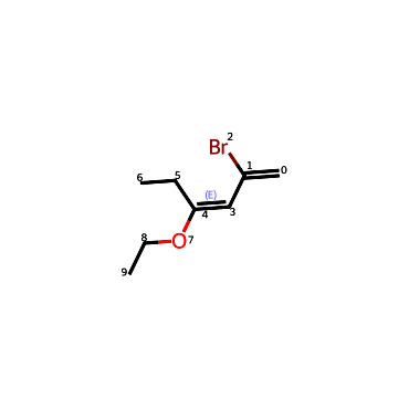 C=C(Br)/C=C(\CC)OCC